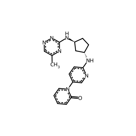 Cc1cnnc(N[C@H]2CC[C@H](Nc3ccc(-n4ccccc4=O)cn3)C2)n1